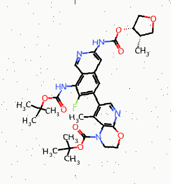 Cc1c(-c2cc3cc(NC(=O)O[C@@H]4COC[C@@H]4C)ncc3c(NC(=O)OC(C)(C)C)c2F)cnc2c1N(C(=O)OC(C)(C)C)CCO2